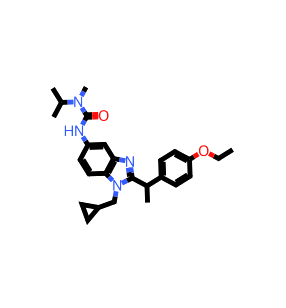 CCOc1ccc(C(C)c2nc3cc(NC(=O)N(C)C(C)C)ccc3n2CC2CC2)cc1